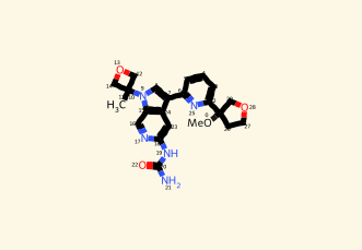 COC1(c2cccc(-c3cn(C4(C)COC4)c4cnc(NC(N)=O)cc34)n2)CCOC1